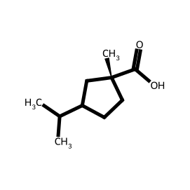 CC(C)C1CC[C@@](C)(C(=O)O)C1